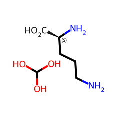 NCCC[C@H](N)C(=O)O.OC(O)O